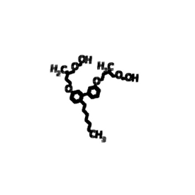 C=C(CCOc1cccc(-c2cc(OCCC(=C)COCO)ccc2CCCCCCC)c1)COCO